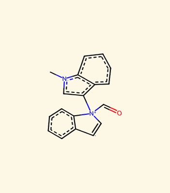 Cn1cc([N+]2(C=O)C=[C]c3ccccc32)c2ccccc21